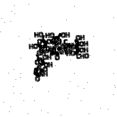 CC(=O)N[C@H]1C(O)O[C@H](CO)[C@@H](O)[C@@H]1O.CC(C)CC(N)C(=O)O.Cc1cn([C@H]2C[C@H](O)[C@@H](CO)O2)c(=O)[nH]c1=O.O=CC(O)C(O)C(O)C(O)CO.O=c1ccn([C@@H]2O[C@H](CO)[C@@H](O)[C@H]2O)c(=O)[nH]1